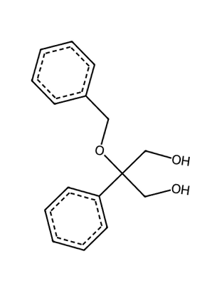 OCC(CO)(OCc1ccccc1)c1ccccc1